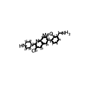 COc1c(CN)cccc1-c1ccc2nc(N3CCNCC3)c(Cl)cc2c1